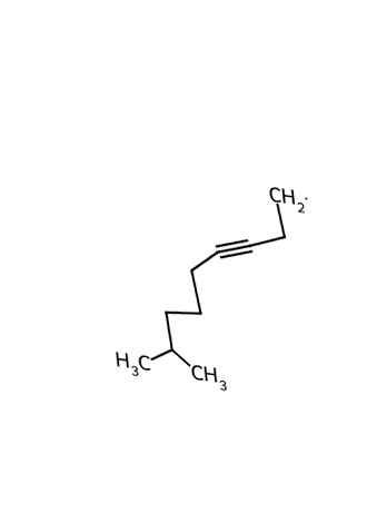 [CH2]CC#CCCCC(C)C